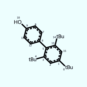 CC(C)(C)c1cc(C(C)(C)C)c(-c2ccc(O)cc2)c(C(C)(C)C)c1